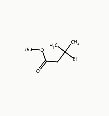 CCC(C)(C)CC(=O)OC(C)(C)C